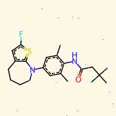 Cc1cc(N2CCCCc3cc(F)sc32)cc(C)c1NC(=O)CC(C)(C)C